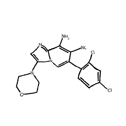 [C-]#[N+]c1c(-c2ccc(Cl)cc2Cl)cn2c(N3CCOCC3)cnc2c1N